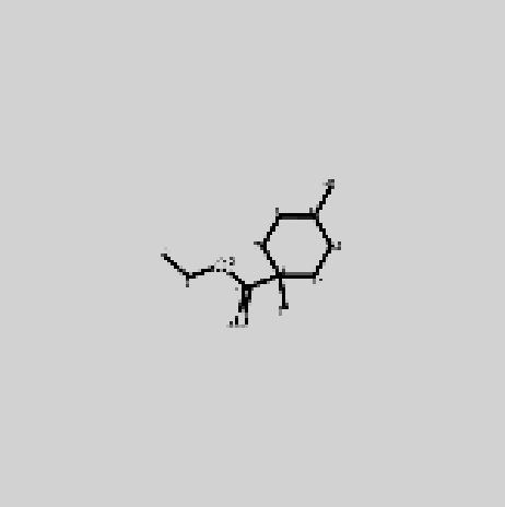 CCOC(=O)C1(C)CCC(C)CC1